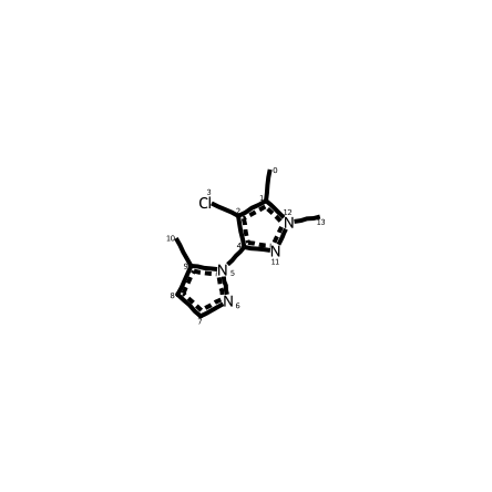 Cc1c(Cl)c(-n2nccc2C)nn1C